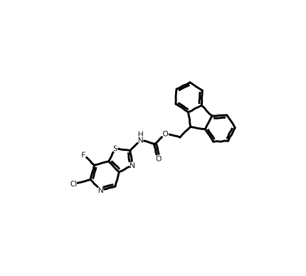 O=C(Nc1nc2cnc(Cl)c(F)c2s1)OCC1c2ccccc2-c2ccccc21